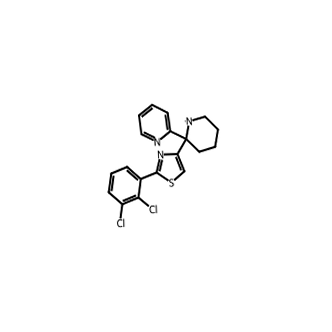 Clc1cccc(-c2nc(C3(c4ccccn4)CCCC[N]3)cs2)c1Cl